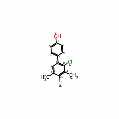 Cc1cc(-c2ccc(O)cc2)c(Cl)c(C)c1Cl